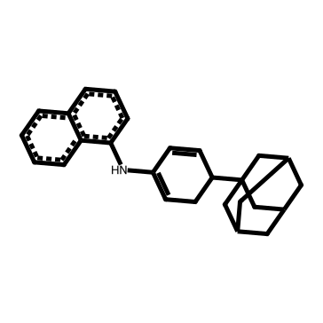 C1=CC(C23CC4CC(CC(C4)C2)C3)CC=C1Nc1cccc2ccccc12